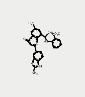 Cc1cc(C(C)Nc2ccccc2C(=O)O)c2oc(-c3ccc4[nH]c(C)nc4c3)cc(=O)c2c1